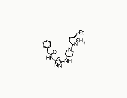 CCC=C/C=C\C(=N/C)N1CCC(Nc2nnc(NC(=O)Cc3ccccc3)s2)CC1